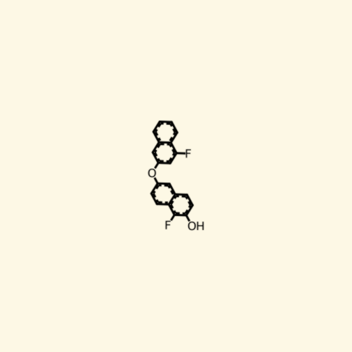 Oc1ccc2cc(Oc3cc(F)c4ccccc4c3)ccc2c1F